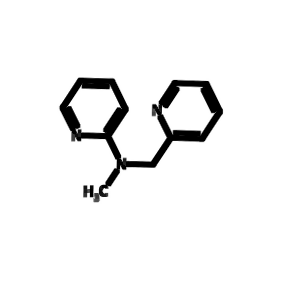 CN(Cc1ccccn1)c1ccccn1